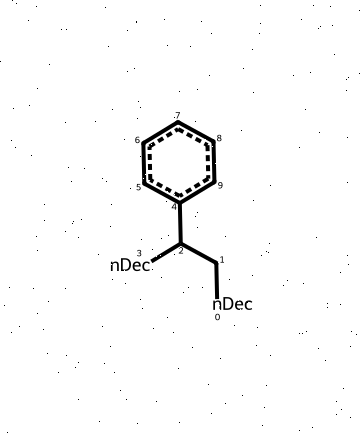 CCCCCCCCCCCC(CCCCCCCCCC)c1ccccc1